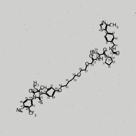 Cc1ncsc1-c1ccc(CNC(=O)[C@@H]2CCCN2C(=O)C(NC(=O)COCCOCCCCCOc2ccc(N3C(=S)N(c4ccc(C#N)c(C(F)(F)F)c4)C(=O)C3(C)C)cc2)C(C)(C)C)cc1